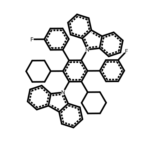 Fc1cccc(-c2c(C3CCCCC3)c(-n3c4ccccc4c4ccccc43)c(C3CCCCC3)c(-c3cccc(F)c3)c2-n2c3ccccc3c3ccccc32)c1